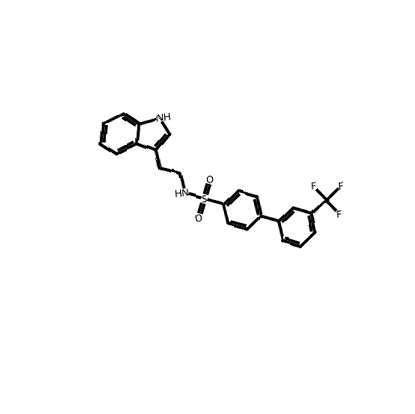 O=S(=O)(NCCc1c[nH]c2ccccc12)c1ccc(-c2cccc(C(F)(F)F)c2)cc1